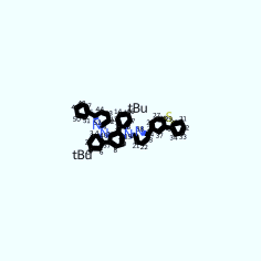 CC(C)(C)c1ccc2c(c1)c1ccc3c(c4ccc(C(C)(C)C)cc4n3-c3cccc(-c4ccc5sc6ccccc6c5c4)n3)c1n2-c1cccc(-c2ccccc2)n1